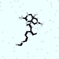 C/C=C(/C=C\C=C/N=C/F)\C=C(/C)[C@]12CN(C(C)=O)C[C@H]1CSC(N)=N2